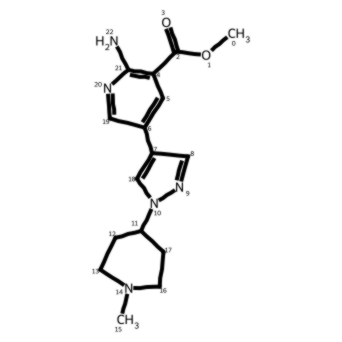 COC(=O)c1cc(-c2cnn(C3CCN(C)CC3)c2)cnc1N